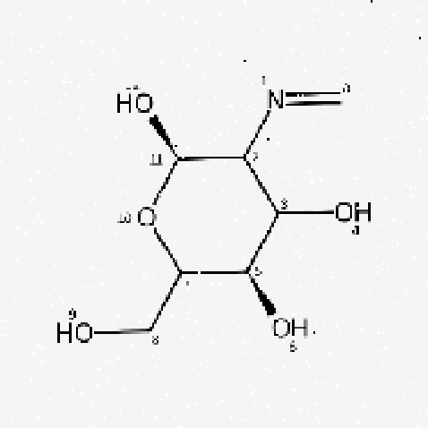 C=NC1C(O)[C@@H](O)C(CO)O[C@H]1O